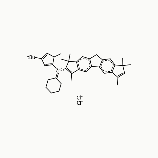 CC1=CC(C)(C)c2cc3c(cc21)-c1cc2c(cc1C3)C(C)(C)[C]([Zr+2]([C]1=CC(C(C)(C)C)=CC1C)=[C]1CCCCC1)=C2C.[Cl-].[Cl-]